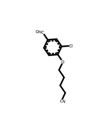 N#CCCCCOc1ccc(C=O)cc1Cl